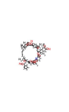 C=C[C@@H]1/C=C/C=C/C=C(\C)C(OC[C@@H](O)c2ccccc2)C[C@@H]2CC[C@@H](C)[C@@](O)(O2)C(=O)C(=O)N2CCCCC2C(=O)O[C@H]([C@H](C)C[C@@H]2CC[C@@H](O)[C@H](OC)C2)CC(=O)[C@H](C)/C=C(\C)[C@@H](O)[C@@H](OC)C(=O)[C@H](C)C1